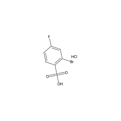 Cl.O=S(=O)(O)c1ccc(F)cc1Br